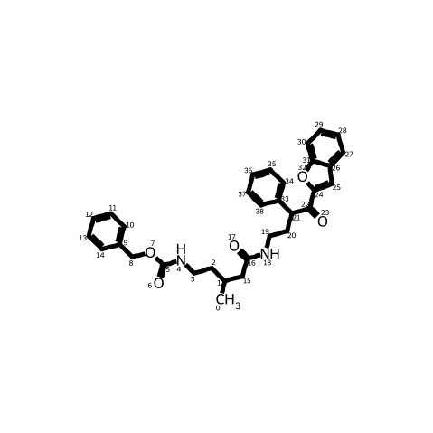 CC(CCNC(=O)OCc1ccccc1)CC(=O)NCCC(C(=O)c1cc2ccccc2o1)c1ccccc1